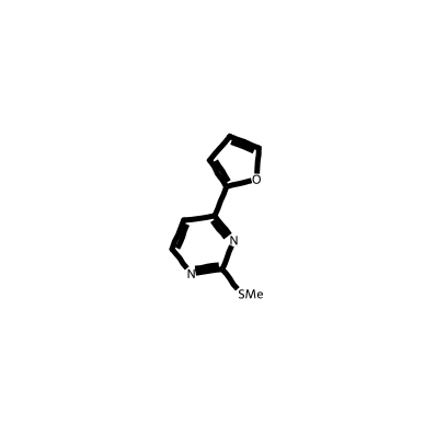 CSc1nccc(-c2ccco2)n1